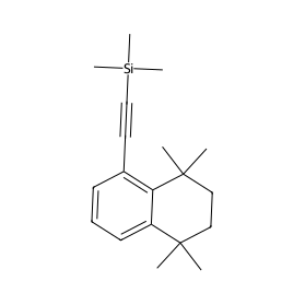 CC1(C)CCC(C)(C)c2c(C#C[Si](C)(C)C)cccc21